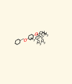 CC(C)(C)[Si](C)(C)Oc1ccc(OCc2ccccc2)cc1